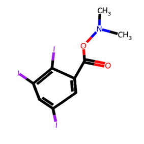 CN(C)OC(=O)c1cc(I)cc(I)c1I